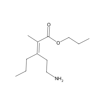 CCCOC(=O)C(C)=C(CCC)CCN